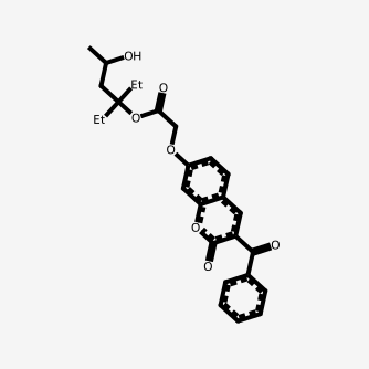 CCC(CC)(CC(C)O)OC(=O)COc1ccc2cc(C(=O)c3ccccc3)c(=O)oc2c1